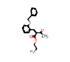 CCCOC(=O)C(=Cc1ccccc1SCc1ccccc1)C(C)=O